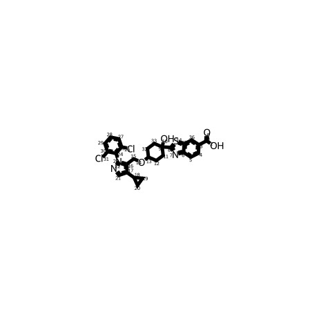 O=C(O)c1ccc2nc(C3(O)CCC(OCc4c(C5CC5)cnn4-c4c(Cl)cccc4Cl)CC3)sc2c1